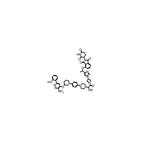 CCCC(C(=O)N1CC(n2cc(C(C)Oc3cccc4c3C(=O)N(C3CCC(=O)NC3=O)C4=O)nn2)C1)N1CCN(c2ccc(N3CCC[C@H](Oc4cc(-c5ccccc5O)nnc4N)C3)cc2)CC1